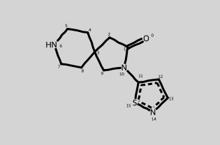 O=C1CC2(CCNCC2)CN1c1ccns1